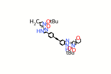 C=C1C[C@@H](c2nc(-c3ccc(C#Cc4ccc5[nH]c([C@@H]6C[C@@]7(CCCOC7)CN6C(=O)OC(C)(C)C)nc5c4)cc3)c[nH]2)N(C(=O)OC(C)(C)C)C1